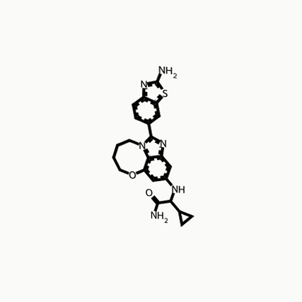 NC(=O)C(Nc1cc2c3c(c1)nc(-c1ccc4nc(N)sc4c1)n3CCCCO2)C1CC1